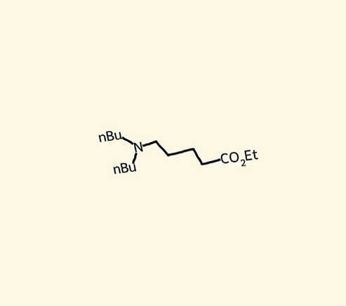 CCCCN(CCCC)CCCCC(=O)OCC